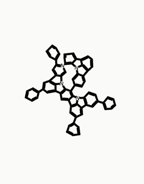 c1ccc(-c2ccc3c(c2)c2cc(-c4ccccc4)cc4c5cc6c7cc(-c8ccccc8)cc8c9cc(-c%10ccccc%10)ncc9n(c6c(-c6ccc9c%10cccc%11c%12ccccc%12n(c9c6)c%11%10)c5n3c24)c87)cc1